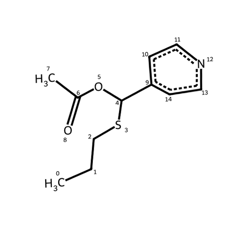 CCCSC(OC(C)=O)c1ccncc1